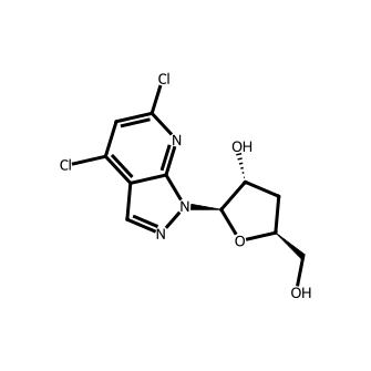 OC[C@@H]1C[C@@H](O)[C@H](n2ncc3c(Cl)cc(Cl)nc32)O1